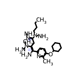 CCCCN(N)/C(C/C(=C(/N)c1ccc(OC2CCCCC2)c(C)n1)N(C)N)=N\N